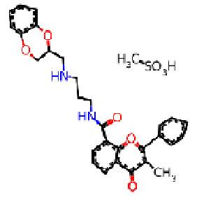 CS(=O)(=O)O.Cc1c(-c2ccccc2)oc2c(C(=O)NCCCNCC3COc4ccccc4O3)cccc2c1=O